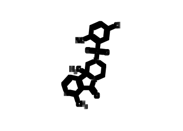 Cc1nccc2c1C(=O)N1CCN(S(=O)(=O)c3cc(Cl)ccc3C#N)CC21C